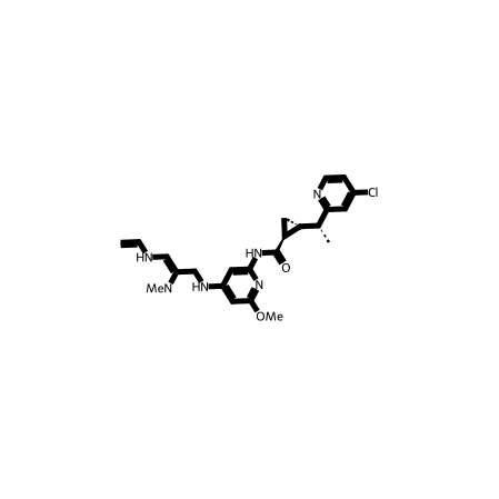 C=CN/C=C(/CNc1cc(NC(=O)[C@H]2C[C@@H]2[C@@H](C)c2cc(Cl)ccn2)nc(OC)c1)NC